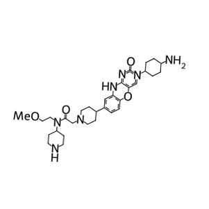 COCCN(C(=O)CN1CCC(c2ccc3c(c2)Nc2nc(=O)n(C4CCC(N)CC4)cc2O3)CC1)C1CCNCC1